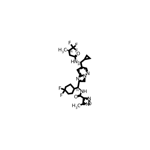 Cc1nonc1C(=O)N[C@H](c1cn2ncc([C@H](NC(=O)C[C@@H](C)C(F)(F)F)C3CC3)cc2n1)C1CCC(F)(F)CC1